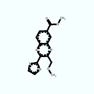 COCc1nc2cc(C(=O)OC)ccc2nc1-c1nccs1